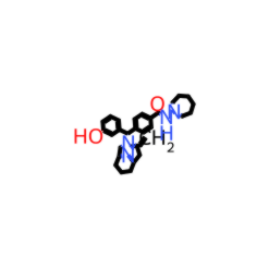 C=CCN1C2CCCC1CN(C(c1ccc(C(=O)NN3CCCCCC3)cc1)c1cccc(O)c1)CC2